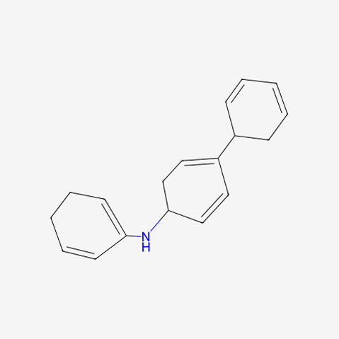 C1=CCC(C2=CCC(NC3=CCCC=C3)C=C2)C=C1